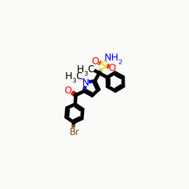 Cn1c(C(=O)c2ccc(Br)cc2)ccc1C(C)(c1ccccc1)S(N)(=O)=O